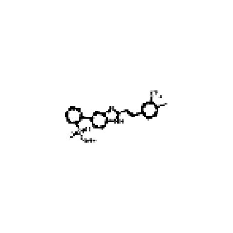 CNS(=O)(=O)c1ccccc1-c1ccc2[nH]c(C=Cc3ccc(F)c(C(F)(F)F)c3)nc2c1